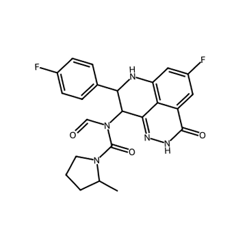 CC1CCCN1C(=O)N(C=O)C1c2n[nH]c(=O)c3cc(F)cc(c23)NC1c1ccc(F)cc1